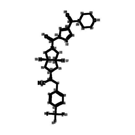 CN(Cc1ccc(C(F)(F)F)cc1)[C@H]1C[C@@H]2CN(C(=O)n3cc(C(=O)N4CCOCC4)cn3)C[C@@H]2C1